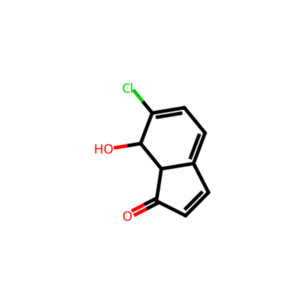 O=C1C=CC2=CC=C(Cl)C(O)C12